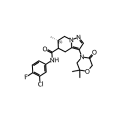 C[C@@H]1Cn2ncc(N3CC(C)(C)OCC3=O)c2CC1C(=O)Nc1ccc(F)c(Cl)c1